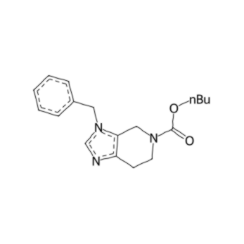 CCCCOC(=O)N1CCc2ncn(Cc3ccccc3)c2C1